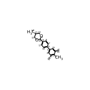 Cc1c(F)cc(-c2ccc(C3OCC(C)CO3)cc2)cc1F